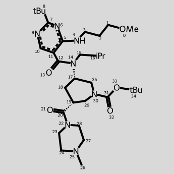 COCCCNc1nc(C(C)(C)C)ncc1C(=O)N(CC(C)C)[C@H]1C[C@@H](C(=O)N2CCN(C)CC2)CN(C(=O)OC(C)(C)C)C1